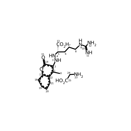 Cc1c(NN[C@@H](CCCNC(=N)N)C(=O)O)c(=O)oc2ccccc12.NCC(=O)O